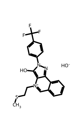 CSCC[n+]1cc2ccccc2c2nn(-c3ccc(C(F)(F)F)cc3)c(O)c21.[OH-]